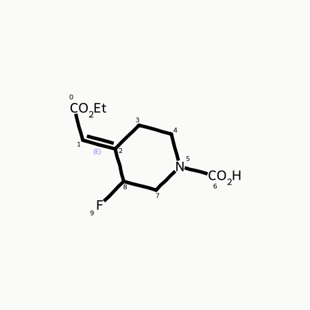 CCOC(=O)/C=C1\CCN(C(=O)O)CC1F